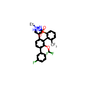 CCn1cc(-c2ccc(-c3cccc(F)c3)c(OC(F)F)c2-c2c(C(F)(F)F)cccc2S(N)(=O)=O)cn1